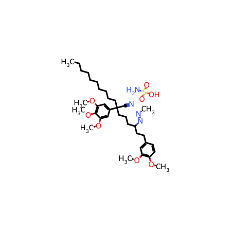 CCCCCCCCCCC(C#N)(CCCC(CCc1ccc(OC)c(OC)c1)N=NC)c1cc(OC)c(OC)c(OC)c1.NS(=O)(=O)O